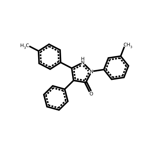 Cc1ccc(-c2[nH]n(-c3cccc(C)c3)c(=O)c2-c2ccccc2)cc1